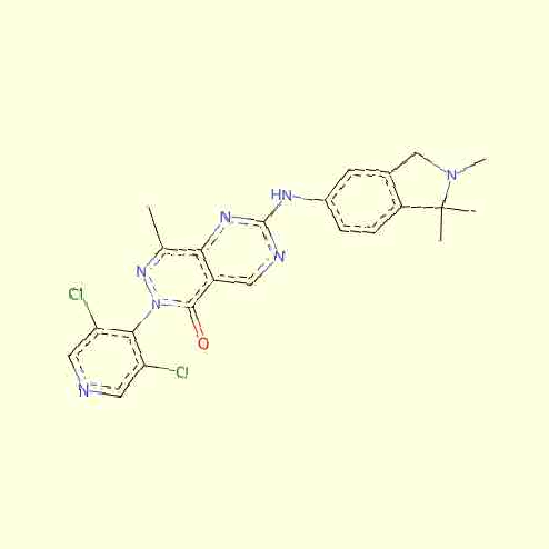 Cc1nn(-c2c(Cl)cncc2Cl)c(=O)c2cnc(Nc3ccc4c(c3)CN(C)C4(C)C)nc12